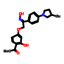 COC(=O)c1ccc(OCC(=NO)c2ccc(N3CCC(C(C)(C)C)C3)cc2)cc1O